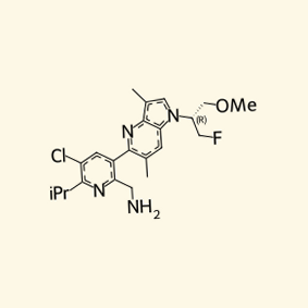 COC[C@H](CF)n1cc(C)c2nc(-c3cc(Cl)c(C(C)C)nc3CN)c(C)cc21